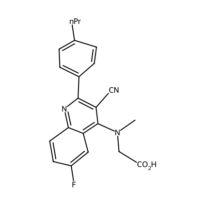 CCCc1ccc(-c2nc3ccc(F)cc3c(N(C)CC(=O)O)c2C#N)cc1